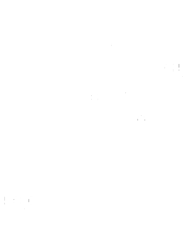 C=C(Cl)C(=O)Oc1ccc(C(=O)O)cc1